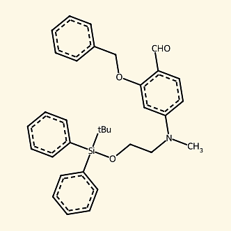 CN(CCO[Si](c1ccccc1)(c1ccccc1)C(C)(C)C)c1ccc(C=O)c(OCc2ccccc2)c1